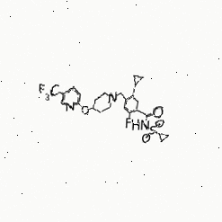 O=C(NS(=O)(=O)C1CC1)c1cc(C2CC2)c(CN2CCC(Oc3ccc(C(F)(F)F)cn3)CC2)cc1F